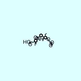 CCc1cc(OCCCS(C)(=O)=O)cc(CC)c1-c1cccc(C2COc3cc(CCC(=O)O)c(F)cc3N2)c1